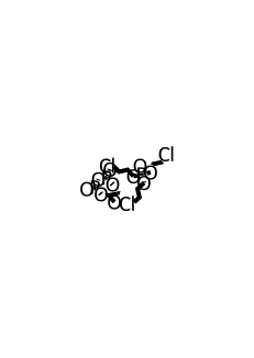 C1CO1.O=P(=O)OP(=O)=O.O=P(OCCCl)(OCCCl)OCCCl